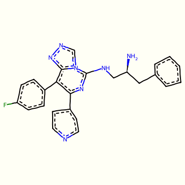 N[C@H](CNc1nc(-c2ccncc2)c(-c2ccc(F)cc2)c2nncn12)Cc1ccccc1